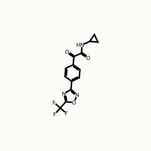 O=C(NC1CC1)C(=O)c1ccc(-c2noc(C(F)(F)F)n2)cc1